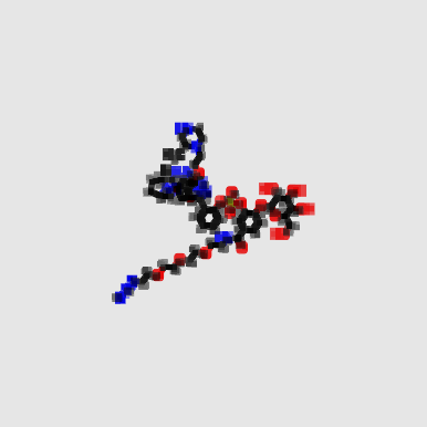 C[C@@H]1CNCCN1CCOc1cc(N2C3CC[C@H]2CN(c2cc(-c4ccccc4OS(=O)(=O)Oc4cc(C(=O)NCCOCCOCCOCCN=[N+]=[N-])ccc4O[C@@H]4O[C@H](CO)[C@H](O)[C@H](O)[C@H]4O)nnc2N)C3)ccn1